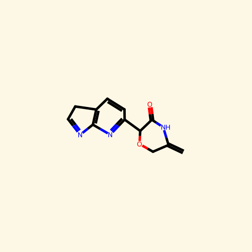 C=C1COC(c2ccc3c(n2)N=CC3)C(=O)N1